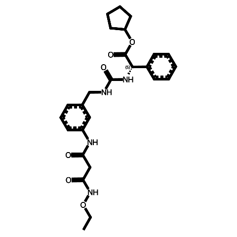 CCONC(=O)CC(=O)Nc1cccc(CNC(=O)N[C@H](C(=O)OC2CCCC2)c2ccccc2)c1